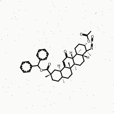 CC(=O)O[C@H]1CC[C@@]2(C)[C@@H](CC[C@]3(C)[C@@H]2C(=O)C=C2[C@@H]4C[C@@](C)(C(=O)OC(c5ccccc5)c5ccccc5)CC[C@]4(C)CC[C@]23C)[C@]1(C)N=C=O